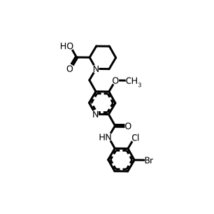 COc1cc(C(=O)Nc2cccc(Br)c2Cl)ncc1CN1CCCCC1C(=O)O